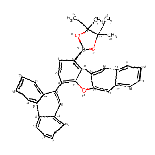 CC1(C)OB(c2ccc(-c3cc4ccccc4c4ccccc34)c3oc4cc5ccccc5cc4c23)OC1(C)C